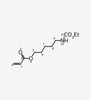 C=CC(=O)OCCCCCNC(=O)OCC